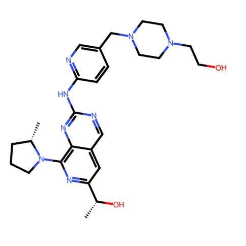 C[C@@H](O)c1cc2cnc(Nc3ccc(CN4CCN(CCO)CC4)cn3)nc2c(N2CCC[C@@H]2C)n1